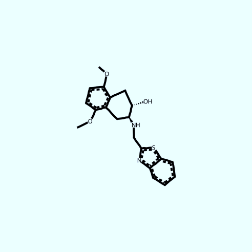 COc1ccc(OC)c2c1C[C@H](NCc1nc3ccccc3s1)[C@@H](O)C2